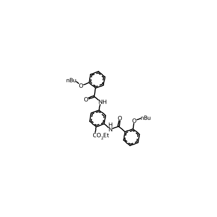 CCCCOc1ccccc1C(=O)Nc1ccc(C(=O)OCC)c(NC(=O)c2ccccc2OCCCC)c1